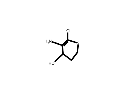 NC1=C(Cl)SCCC1O